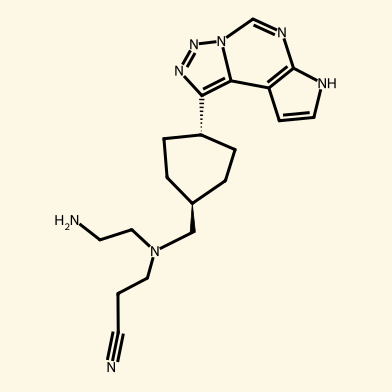 N#CCCN(CCN)C[C@H]1CC[C@H](c2nnn3cnc4[nH]ccc4c23)CC1